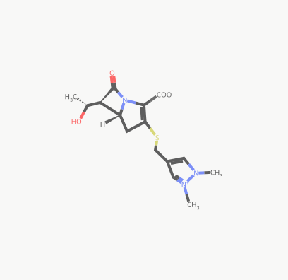 C[C@@H](O)[C@H]1C(=O)N2C(C(=O)[O-])=C(SCc3cn(C)[n+](C)c3)C[C@H]12